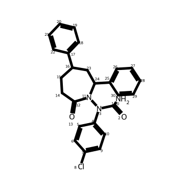 NC(=O)N(c1ccc(Cl)cc1)N1C(=O)CCC(c2ccccc2)CC1c1ccccc1